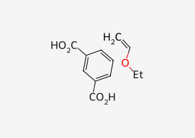 C=COCC.O=C(O)c1cccc(C(=O)O)c1